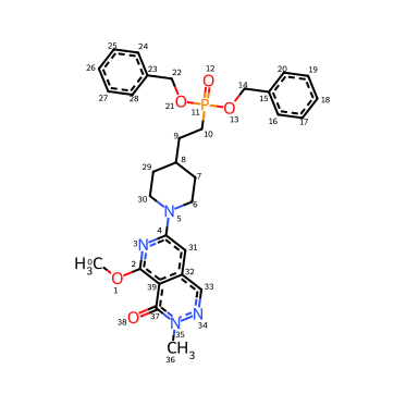 COc1nc(N2CCC(CCP(=O)(OCc3ccccc3)OCc3ccccc3)CC2)cc2cnn(C)c(=O)c12